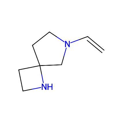 C=CN1CCC2(CCN2)C1